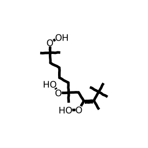 CC(=C(CC(C)(CCCCC(C)(C)OO)OO)OO)C(C)(C)C